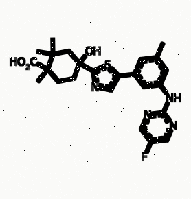 Cc1cc(Nc2ncc(F)cn2)cc(-c2cnc(C3(O)CCC(C)(C(=O)O)C(C)(C)C3)s2)c1